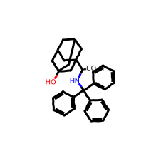 O=C(O)[C@@H](NC(c1ccccc1)(c1ccccc1)c1ccccc1)C12CC3CC(CC(O)(C3)C1)C2